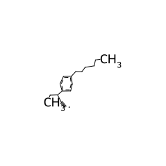 [C]#CC(CC)c1ccc(CCCCCC)cc1